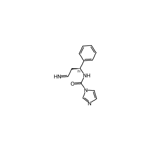 N=CC[C@H](NC(=O)n1ccnc1)c1ccccc1